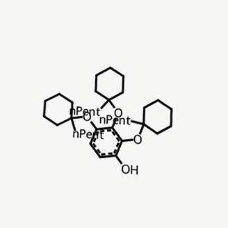 CCCCCC1(Oc2ccc(O)c(OC3(CCCCC)CCCCC3)c2OC2(CCCCC)CCCCC2)CCCCC1